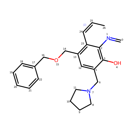 C=Nc1c(O)c(CN2CCCC2)cc(COCc2ccccc2)c1/C=C\C